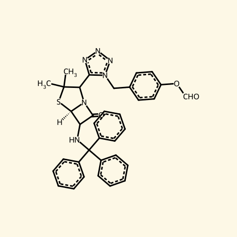 CC1(C)S[C@@H]2C(NC(c3ccccc3)(c3ccccc3)c3ccccc3)C(=O)N2C1c1nnnn1Cc1ccc(OC=O)cc1